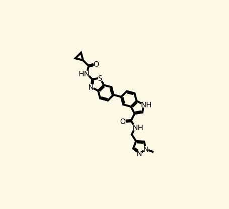 Cn1cc(CNC(=O)c2c[nH]c3ccc(-c4ccc5nc(NC(=O)C6CC6)sc5c4)cc23)cn1